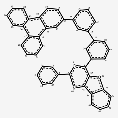 c1ccc(-c2nc(-c3cccc(-c4cccc(-c5ccc6c7ccccc7c7ccccc7c6c5)c4)c3)c3oc4ccccc4c3n2)cc1